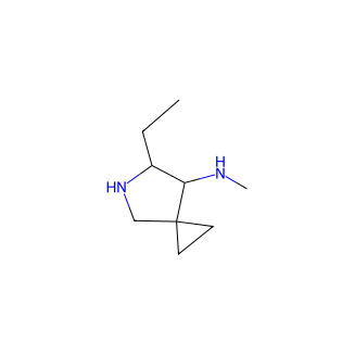 CCC1NCC2(CC2)C1NC